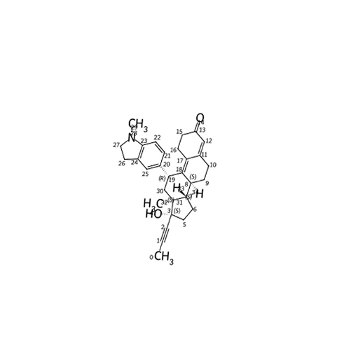 CC#C[C@]1(O)CC[C@H]2[C@@H]3CCC4=CC(=O)CCC4=C3[C@@H](c3ccc4c(c3)CCN4C)C[C@@]21C